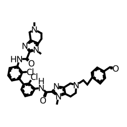 CN1CCc2c(nc(C(=O)Nc3cccc(-c4cccc(NC(=O)c5nc6c(n5C)CCN(CCc5ccc(C=O)cc5)C6)c4Cl)c3Cl)n2C)C1